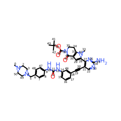 CN1CCN(Cc2ccc(NC(=O)Nc3cccc(C#Cc4cnc(N)nc4-c4cc5c(n4C)CCN(C(=O)OC(C)(C)C)C5=O)c3)cc2)CC1